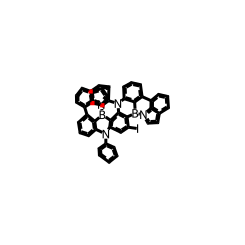 Ic1cc2c(c3c1B1c4c(cccc4N3c3ccccc3)-c3cccc4ccn1c34)B1c3c(cccc3N2c2ccccc2)-c2cccc3ccn1c23